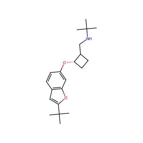 CC(C)(C)NCC1CC[C@@H]1Oc1ccc2cc(C(C)(C)C)oc2c1